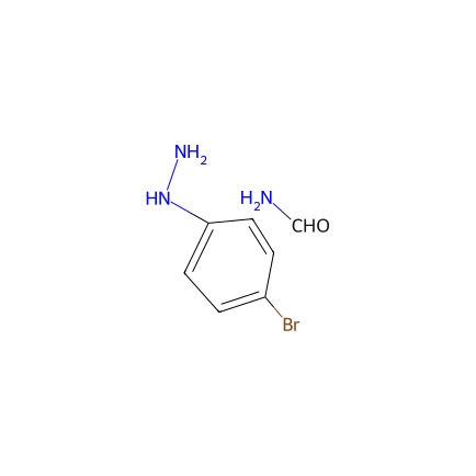 NC=O.NNc1ccc(Br)cc1